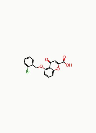 O=C(O)c1cc(=O)c2c(OCc3ccccc3Br)cccc2o1